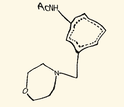 CC(=O)Nc1cccc(CN2CCOCC2)c1